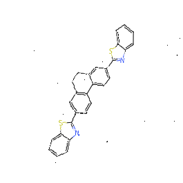 c1ccc2sc(-c3ccc4c(c3)CCc3cc(-c5nc6ccccc6s5)ccc3-4)nc2c1